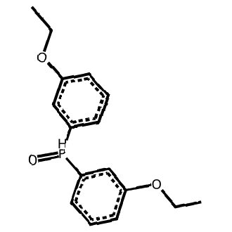 CCOc1cccc([PH](=O)c2cccc(OCC)c2)c1